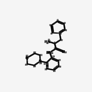 NC(Cc1ccccc1)C(=O)Nc1ccccc1N1CCOCC1